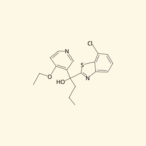 CCCC(O)(c1nc2cccc(Cl)c2s1)c1cnccc1OCC